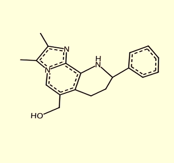 Cc1nc2c3c(c(CO)cn2c1C)CCC(c1ccccc1)N3